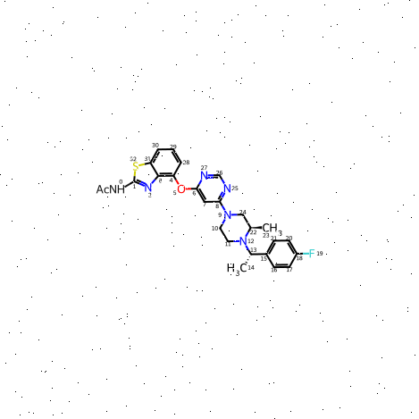 CC(=O)Nc1nc2c(Oc3cc(N4CCN([C@@H](C)c5ccc(F)cc5)[C@H](C)C4)ncn3)cccc2s1